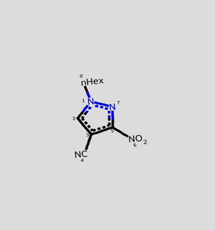 CCCCCCn1cc(C#N)c([N+](=O)[O-])n1